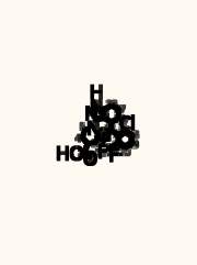 O=C(O)C1CCN(c2n[nH]c3c2C(C(=O)c2c(Cl)cccc2C(F)(F)F)CCC3)CC1